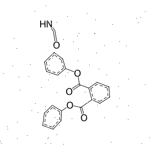 N=C=O.O=C(Oc1ccccc1)c1ccccc1C(=O)Oc1ccccc1